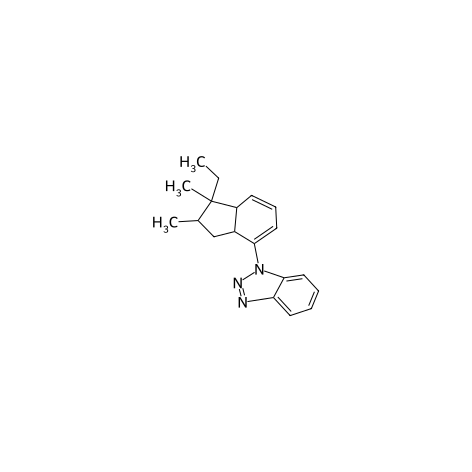 CCC1(C)C(C)CC2C(n3nnc4ccccc43)=CC=CC21